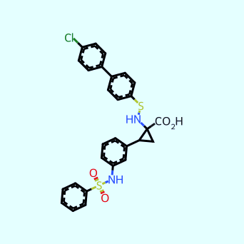 O=C(O)C1(NSc2ccc(-c3ccc(Cl)cc3)cc2)CC1c1cccc(NS(=O)(=O)c2ccccc2)c1